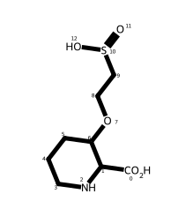 O=C(O)C1NCCCC1OCCS(=O)O